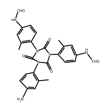 Cc1cc(N)ccc1-n1c(=O)n(-c2ccc(NC=O)cc2C)c(=O)n(-c2ccc(NC=O)cc2C)c1=O